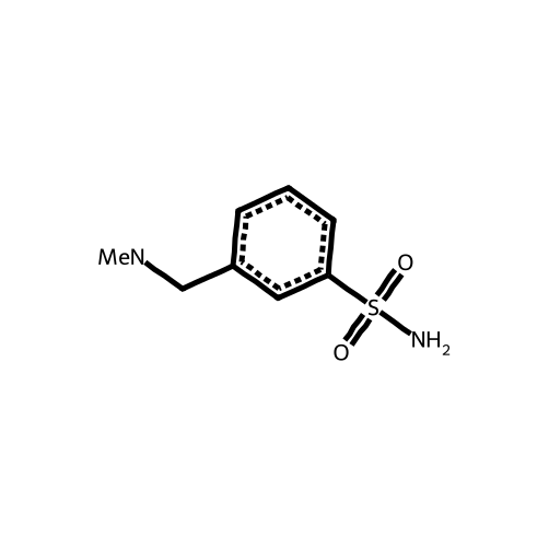 CNCc1cccc(S(N)(=O)=O)c1